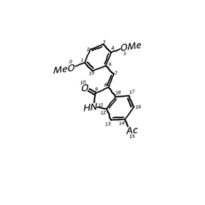 COc1ccc(OC)c(C=C2C(=O)Nc3cc(C(C)=O)ccc32)c1